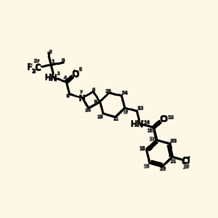 CC(C)(NC(=O)CN1CC2(CCC(CNC(=O)c3cccc(Cl)c3)CC2)C1)C(F)(F)F